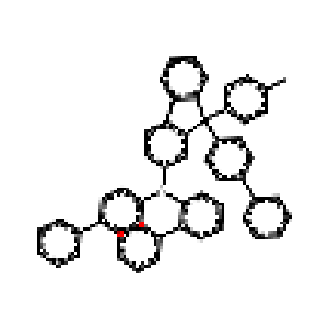 Cc1ccc(C2(c3ccc(-c4ccccc4)cc3)c3ccccc3-c3ccc(N(c4ccc(-c5ccccc5)cc4)c4ccccc4-c4ccccc4)cc32)cc1